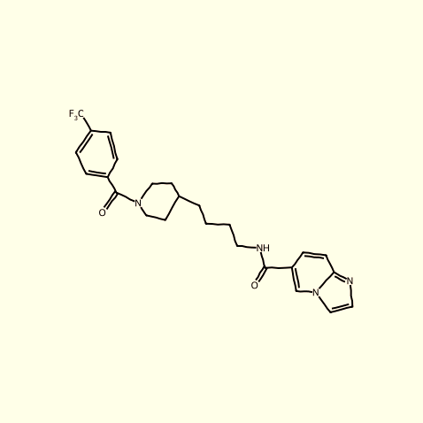 O=C(NCCCCC1CCN(C(=O)c2ccc(C(F)(F)F)cc2)CC1)c1ccc2nccn2c1